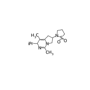 CC1=NC(C(C)C)C(C)=C2CC(N3CCCS3(=O)=O)CN12